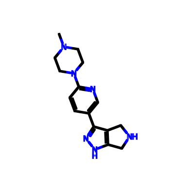 CN1CCN(c2ccc(-c3n[nH]c4c3CNC4)cn2)CC1